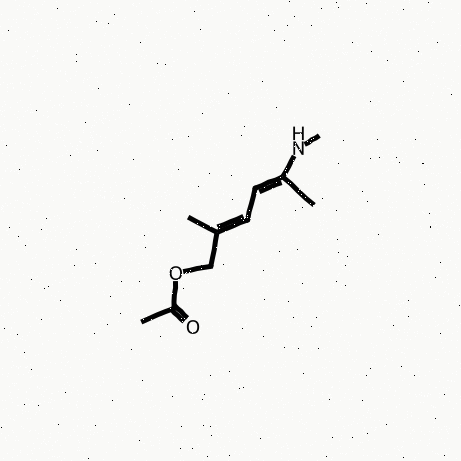 CN/C(C)=C/C=C(\C)COC(C)=O